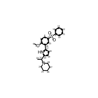 COc1ccc(S(=O)(=O)c2ccccc2)cc1-c1ccc(C(C)N2CCCCC2)[nH]1